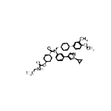 CCNC(=O)O[C@H]1CC[C@H](C(=O)N(C[C@H]2CC[C@H](c3ccc(OC)c(C)c3)CC2)c2cccc(-c3cnn(C4CC4)c3)c2)CC1